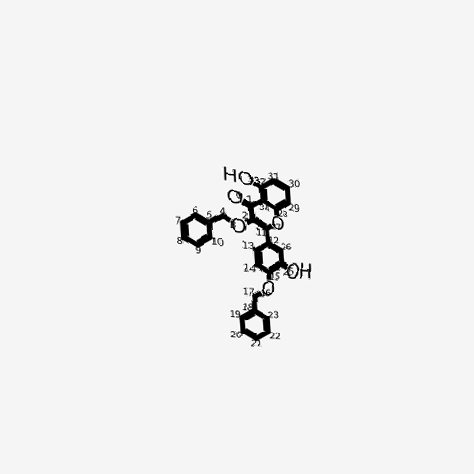 O=c1c(OCc2ccccc2)c(-c2ccc(OCc3ccccc3)c(O)c2)oc2cccc(O)c12